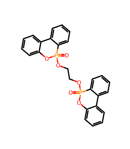 O=P1(OCCOP2(=O)Oc3ccccc3-c3ccccc32)Oc2ccccc2-c2ccccc21